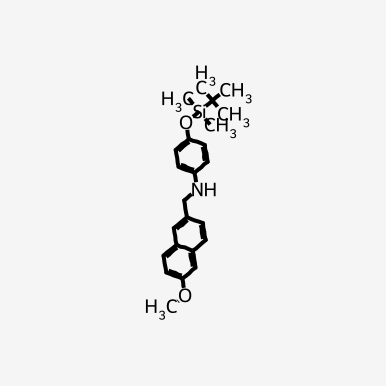 COc1ccc2cc(CNc3ccc(O[Si](C)(C)C(C)(C)C)cc3)ccc2c1